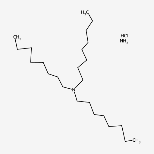 CCCCCCCCN(CCCCCCCC)CCCCCCCC.Cl.N